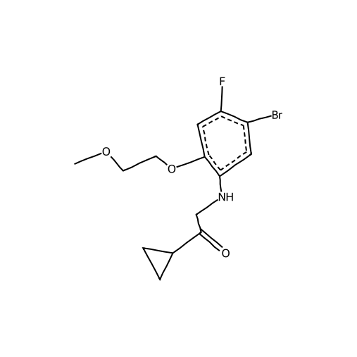 COCCOc1cc(F)c(Br)cc1NCC(=O)C1CC1